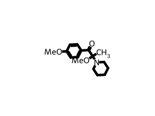 COc1ccc(C(=O)C(C)(OC)N2CCCCC2)cc1